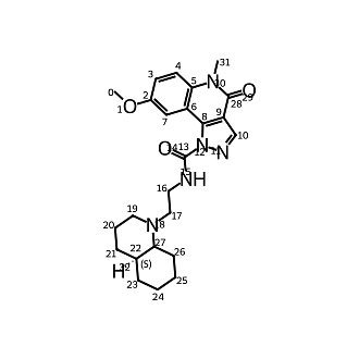 COc1ccc2c(c1)c1c(cnn1C(=O)NCCN1CCC[C@@H]3CCCCC31)c(=O)n2C